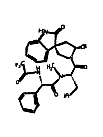 CC(C)C[C@@H](C(=O)N1C[C@]2(C[C@H]1C#N)C(=O)Nc1ccccc12)N(C)C(=O)[C@@H](NC(=O)C(F)(F)F)c1ccccc1